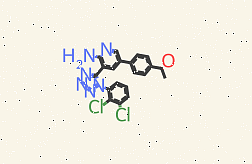 CC(=O)c1ccc(-c2cnc(N)c(-c3nnnn3-c3cccc(Cl)c3Cl)c2)cc1